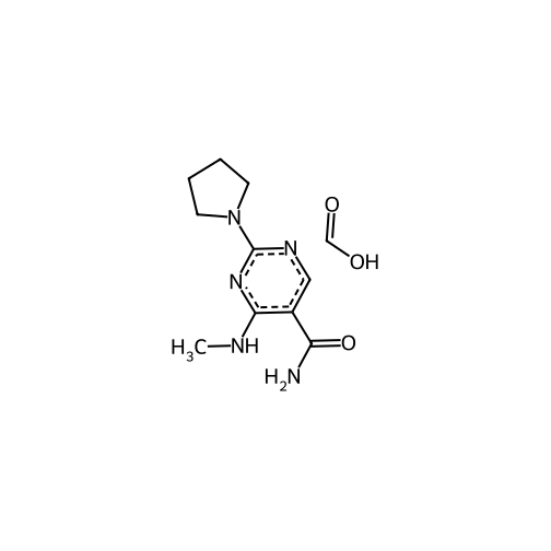 CNc1nc(N2CCCC2)ncc1C(N)=O.O=CO